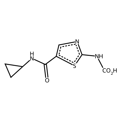 O=C(O)Nc1ncc(C(=O)NC2CC2)s1